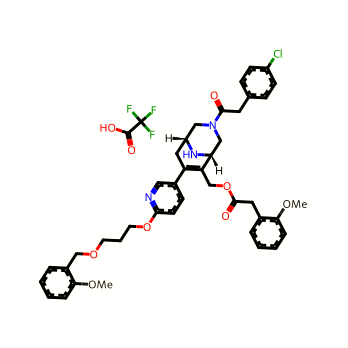 COc1ccccc1COCCCOc1ccc(C2=C(COC(=O)Cc3ccccc3OC)[C@H]3CN(C(=O)Cc4ccc(Cl)cc4)C[C@@H](C2)N3)cn1.O=C(O)C(F)(F)F